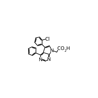 O=C(O)Cn1cc(-c2ccccc2Cl)c2c(-c3ccccc3)ncnc21